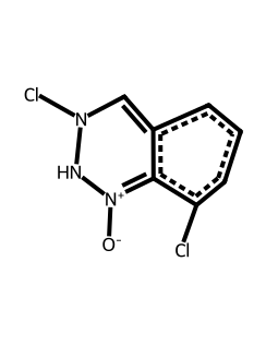 [O-][N+]1=c2c(Cl)cccc2=CN(Cl)N1